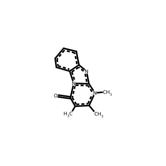 Cc1c(C)n(C)c2nc3ccccc3n2c1=O